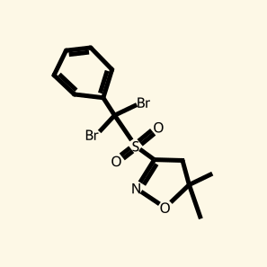 CC1(C)CC(S(=O)(=O)C(Br)(Br)c2ccccc2)=NO1